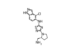 NC[C@@H]1CCCN1c1nsc(Nc2ccc3[nH]ncc3c2Cl)n1